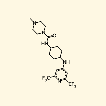 CN1CCN(C(=O)NC2CCC(Nc3cc(C(F)(F)F)nc(C(F)(F)F)c3)CC2)CC1